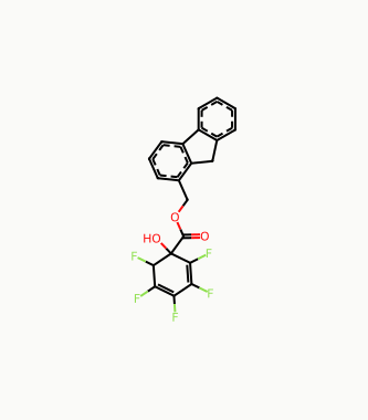 O=C(OCc1cccc2c1Cc1ccccc1-2)C1(O)C(F)=C(F)C(F)=C(F)C1F